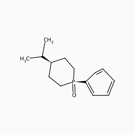 CC(C)[C@H]1CC[P@@](=O)(c2ccccc2)CC1